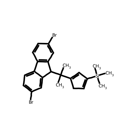 CC(C)(C1=CC([Si](C)(C)C)=CC1)C1c2cc(Br)ccc2-c2ccc(Br)cc21